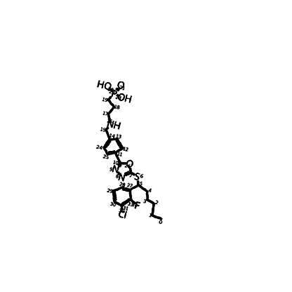 CCCCCC(Sc1nnc(-c2ccc(CNCCCP(=O)(O)O)cc2)o1)c1cccc(Cl)c1F